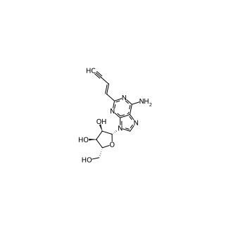 C#CC=Cc1nc(N)c2ncn([C@@H]3O[C@H](CO)[C@@H](O)[C@H]3O)c2n1